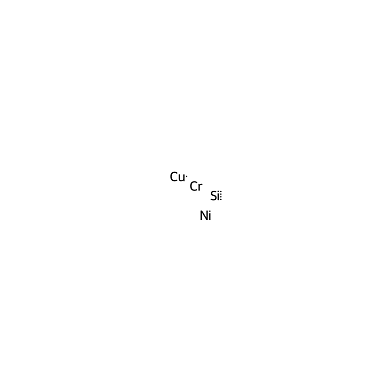 [Cr].[Cu].[Ni].[Si]